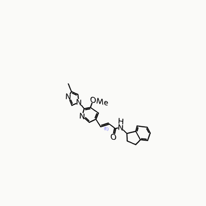 COc1cc(/C=C/C(=O)NC2CCc3ccccc32)cnc1-n1cnc(C)c1